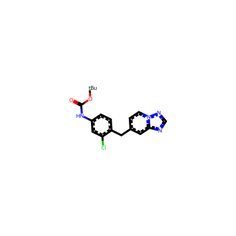 CC(C)(C)OC(=O)Nc1ccc(Cc2ccn3ncnc3c2)c(Cl)c1